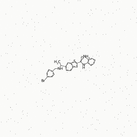 CC(NCc1ccc(Br)cc1)c1ccc2cc(C(=O)Nc3ccccc3N)sc2c1